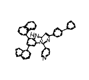 C1=C(c2ccc(-c3ccccc3)cc2)N=C(c2ccncc2)N2c3cc(-c4cccc5ccccc45)cc(-c4cccc5ccccc45)c3NC12